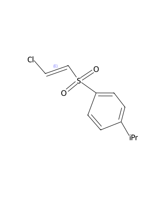 CC(C)c1ccc(S(=O)(=O)/C=C/Cl)cc1